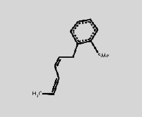 C/C=C\C=C/Cc1ccccc1SC